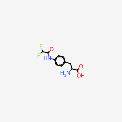 N[C@@H](Cc1ccc(NC(=O)C(F)F)cc1)C(=O)O